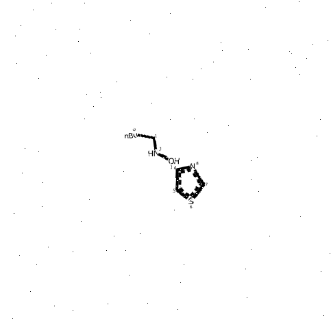 CCCCCNO.c1cscn1